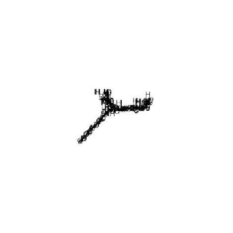 COCCOCCOCCOCCOCCOCCOCCOCCC(=O)NCCNC(=O)c1cc(NC(=O)[C@H](CCCNC(N)=O)NC(=O)[C@@H](N)C(C)C)ccc1COC(=O)NCc1ccc(COc2ccc(NC(=O)NCc3ccc4c(c3)CN(C3CCC(=O)NC3=O)C4=O)cc2)cc1